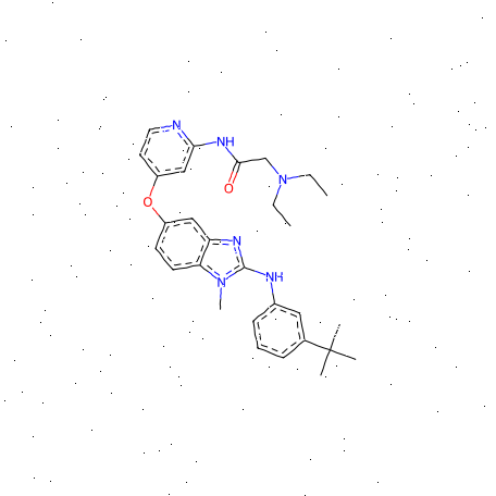 CCN(CC)CC(=O)Nc1cc(Oc2ccc3c(c2)nc(Nc2cccc(C(C)(C)C)c2)n3C)ccn1